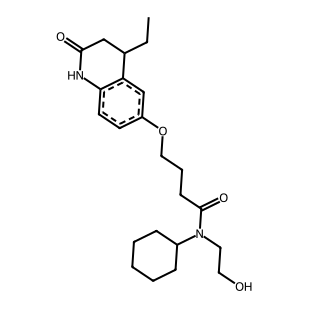 CCC1CC(=O)Nc2ccc(OCCCC(=O)N(CCO)C3CCCCC3)cc21